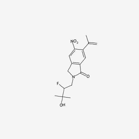 C=C(C)c1cc2c(cc1[N+](=O)[O-])CN(CC(F)C(C)(C)O)C2=O